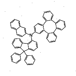 c1ccc(C2(c3ccccc3)c3ccccc3-c3c(N(c4ccc5c(c4)-c4ccccc4-c4ccccc4-c4ccccc4-5)c4ccc5ccccc5c4)cccc32)cc1